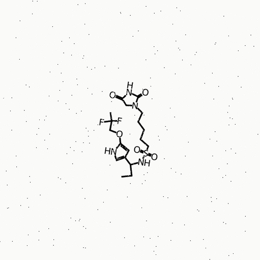 CCC(NS(=O)(=O)CCCCCN1CC(=O)NC1=O)c1c[nH]c(OCC(C)(F)F)c1